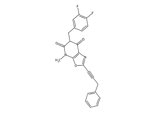 CN1C(=O)C(Cc2ccc(F)c(F)c2)C(=O)c2nc(C#CCc3ccccc3)oc21